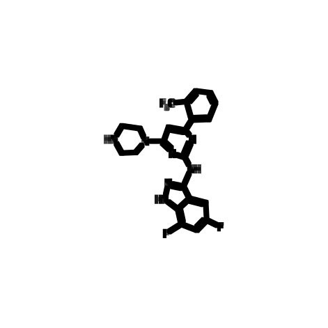 Fc1cc(F)c2[nH]nc(Nc3nc(-c4ccccc4C(F)(F)F)cc(N4CCNCC4)n3)c2c1